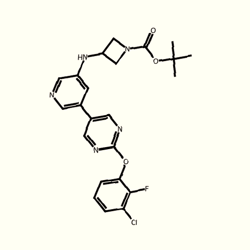 CC(C)(C)OC(=O)N1CC(Nc2cncc(-c3cnc(Oc4cccc(Cl)c4F)nc3)c2)C1